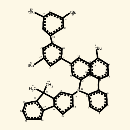 CC(C)(C)c1ccc(-c2ccccc2N(c2cccc(-c3cc(-c4cc(C(C)(C)C)cc(C(C)(C)C)c4)cc(C(C)(C)C)c3)c2)c2ccc3c(c2)C(C)(C)c2ccccc2-3)cc1